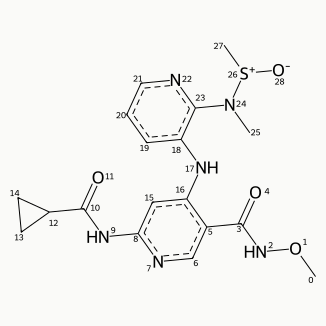 CONC(=O)c1cnc(NC(=O)C2CC2)cc1Nc1cccnc1N(C)[S+](C)[O-]